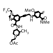 CNC(=O)c1cc(NCC#Cc2cc(C(=O)N[C@H]3CCN(CCOC(C)=O)C[C@@H]3C)c3ncn(CC(F)(F)F)c3c2)c(OC)cc1F